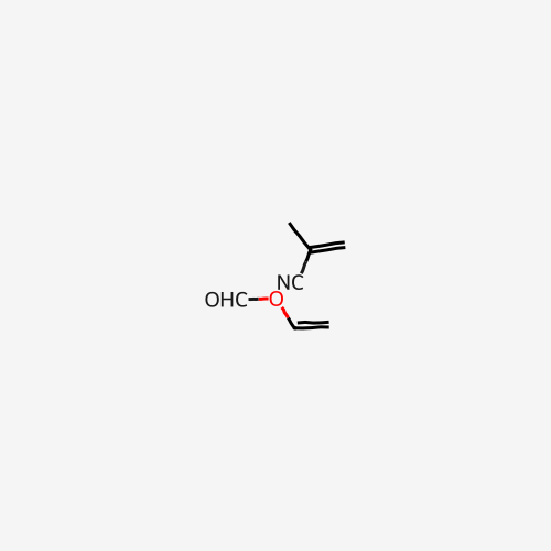 C=C(C)C#N.C=COC=O